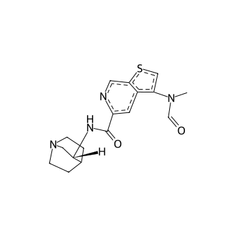 CN(C=O)c1csc2cnc(C(=O)N[C@H]3CN4CCC3CC4)cc12